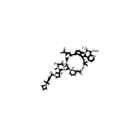 CO[C@@H](C)c1ncccc1-c1c2c3cc(ccc3n1CC(F)(F)F)-c1cc(cc(C(F)F)c1)C[C@H](NC(=O)C(C(C)C)N(C)C(=O)[C@@]1(F)CCN(C(=O)C#CC(C)(C)N3CCC3)C1)C(=O)N1CCC[C@H](N1)C(=O)OCC(C)(C)C2